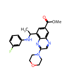 COC(=O)c1cc(C(C)Nc2cccc(F)c2)c2nc(N3CCOCC3)cnc2c1